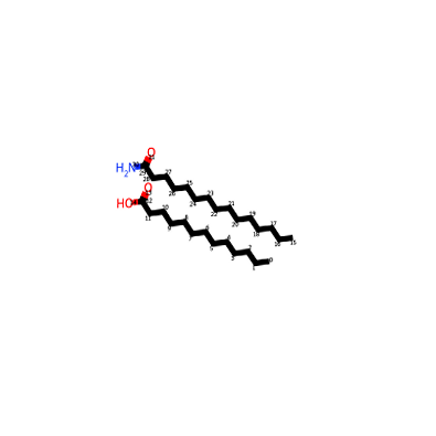 CCCCCCCCCCCCC(=O)O.CCCCCCCCCCCCCCC(N)=O